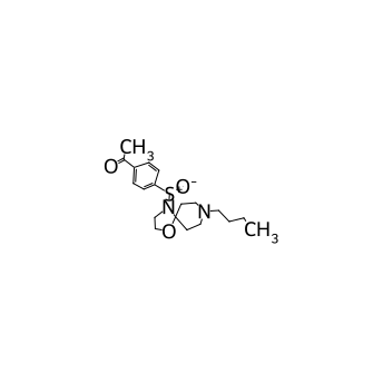 CCCCN1CCC2(CC1)OCCN2[S+]([O-])c1ccc(C(C)=O)cc1